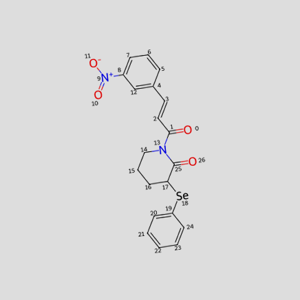 O=C(C=Cc1cccc([N+](=O)[O-])c1)N1CCCC([Se]c2ccccc2)C1=O